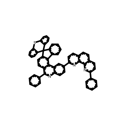 c1ccc(-c2ccc3ccc4ccc(-c5ccc6nc(-c7ccccc7)c7ccc8c(c7c6c5)-c5ccccc5C85c6ccccc6Sc6ccccc65)nc4c3n2)cc1